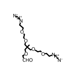 CC(COCC=O)(COCCOCCN=[N+]=[N-])COCCOCCN=[N+]=[N-]